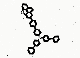 c1ccc(-c2ccc(N(c3ccc(-c4ccccc4)cc3)c3ccc(-c4ccc(-c5cc6ccc7cccc8oc(c5)c6c78)cc4)cc3)cc2)cc1